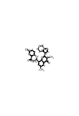 Cc1cc([C@@H](C)Oc2ccc(Cl)nc2C(N)=O)c2oc(-c3cnn4c3CCOC4)c(C)c(=O)c2c1